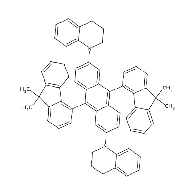 CC1(C)C2=C(CCC=C2)c2c(-c3c4cc(N5CCCc6ccccc65)ccc4c(-c4cccc5c4-c4ccccc4C5(C)C)c4cc(N5CCCc6ccccc65)ccc34)cccc21